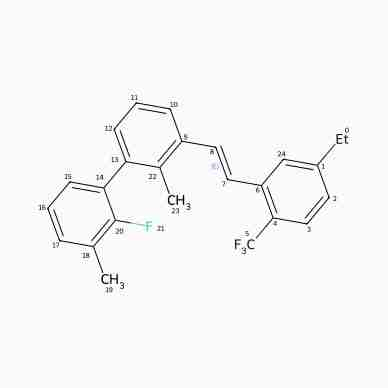 CCc1ccc(C(F)(F)F)c(/C=C/c2cccc(-c3cccc(C)c3F)c2C)c1